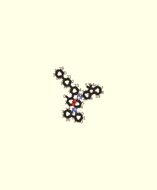 Cc1cccc(C)c1-c1cc(-c2ccc(-c3ccccc3)cc2)ccc1N(c1ccc(-n2c3ccccc3c3ccccc32)cc1)c1ccc2c(c1)C(C)(C)c1ccccc1-2